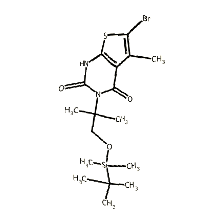 Cc1c(Br)sc2[nH]c(=O)n(C(C)(C)CO[Si](C)(C)C(C)(C)C)c(=O)c12